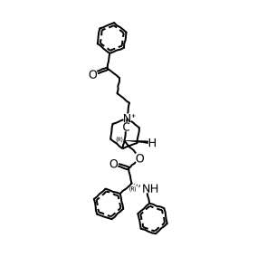 O=C(CCC[N+]12CCC(CC1)[C@@H](OC(=O)[C@H](Nc1ccccc1)c1ccccc1)C2)c1ccccc1